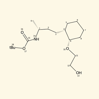 C[C@H](CC[C@@H]1CCCC[C@@H]1OCCO)NC(=O)OC(C)(C)C